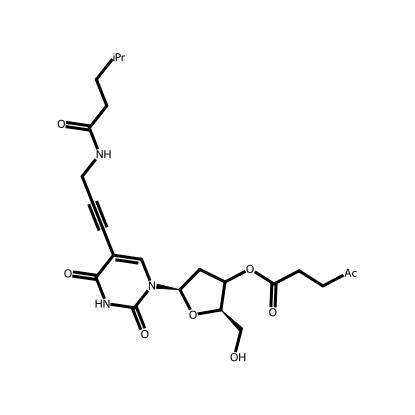 CC(=O)CCC(=O)OC1C[C@H](n2cc(C#CCNC(=O)CCC(C)C)c(=O)[nH]c2=O)O[C@@H]1CO